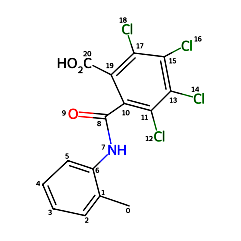 Cc1ccccc1NC(=O)c1c(Cl)c(Cl)c(Cl)c(Cl)c1C(=O)O